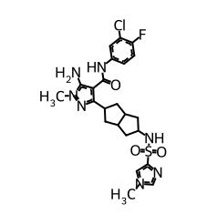 Cn1cnc(S(=O)(=O)NC2CC3CC(c4nn(C)c(N)c4C(=O)Nc4ccc(F)c(Cl)c4)CC3C2)c1